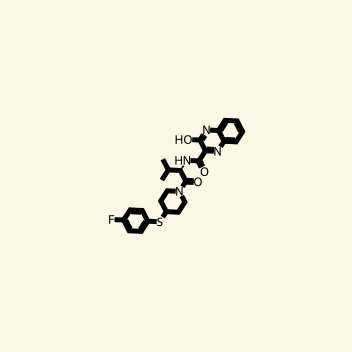 CC(C)[C@H](NC(=O)c1nc2ccccc2nc1O)C(=O)N1CCC(Sc2ccc(F)cc2)CC1